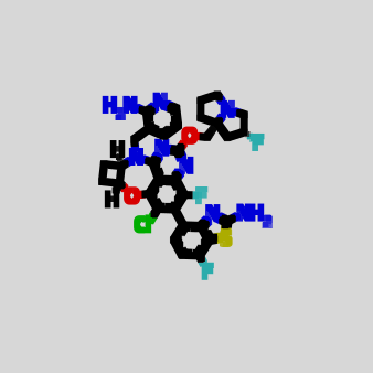 Nc1nc2c(-c3c(Cl)c4c5c(nc(OC[C@@]67CCCN6C[C@H](F)C7)nc5c3F)N(Cc3cccnc3N)[C@@H]3CC[C@H]3O4)ccc(F)c2s1